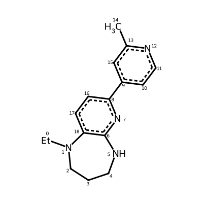 CCN1CCCNc2nc(-c3ccnc(C)c3)ccc21